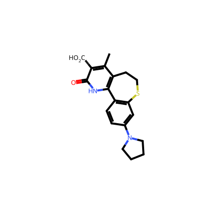 Cc1c2c([nH]c(=O)c1C(=O)O)-c1ccc(N3CCCC3)cc1SCC2